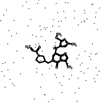 C=CC(=O)N1CCC(Cn2cc(Nc3cn(C)nc3OC)c3ncc(C)n3c2=O)C1